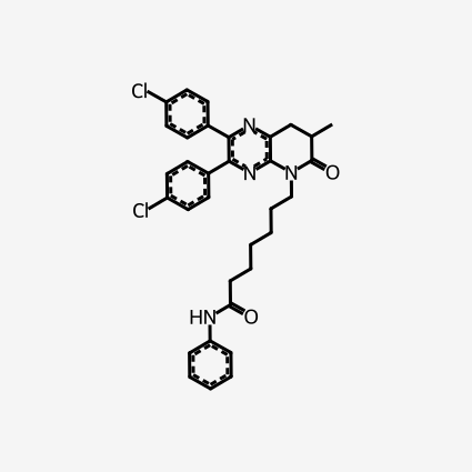 CC1Cc2nc(-c3ccc(Cl)cc3)c(-c3ccc(Cl)cc3)nc2N(CCCCCCC(=O)Nc2ccccc2)C1=O